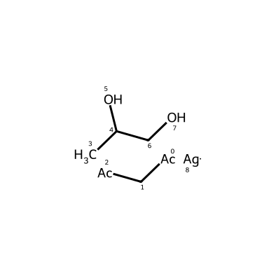 CC(=O)CC(C)=O.CC(O)CO.[Ag]